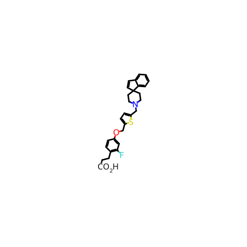 O=C(O)CCc1ccc(OCc2ccc(CN3CCC4(C=Cc5ccccc54)CC3)s2)cc1F